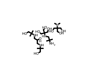 CC(C)(CO)NCC(O)CNC(C)(C)CO.CC(C)(N)CNC(CO)(CO)CO.CN(C)C(CO)(CO)CO